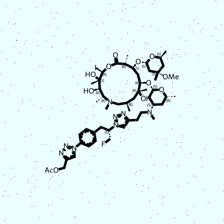 CO[C@]1(C)C[C@H](O[C@H]2C[C@@H](O[C@H]3C[C@@H](N(C)CCc4cn([C@H](CF)Cc5ccc(-n6cc(COC(C)=O)nn6)cc5)nn4)C[C@@H](C)O3)[C@](C)(O)C[C@@H](C)CN(C)[C@H](C)[C@@H](O)[C@](C)(O)[C@@H](I)OC(=O)[C@@H]2C)O[C@@H](C)C1